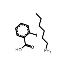 CCCCCCP.O=C(O)c1ccccc1I